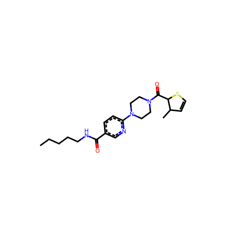 CCCCCNC(=O)c1ccc(N2CCN(C(=O)C3SC=CC3C)CC2)nc1